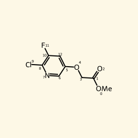 COC(=O)COc1cnc(Cl)c(F)c1